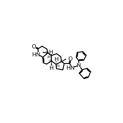 C[C@]12CCC(=O)NC1=CC[C@@H]1[C@H]2CC[C@]2(C)C(C(=O)NN(c3ccccc3)c3ccccc3)CC[C@@H]12